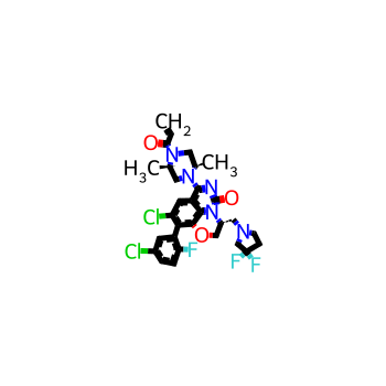 C=CC(=O)N1C[C@H](C)N(c2nc(=O)n3c4c(c(-c5cc(Cl)ccc5F)c(Cl)cc24)OC[C@H]3CN2CCC(F)(F)C2)C[C@H]1C